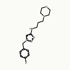 Fc1ccc(Cn2cc(NCCCN3CCOCC3)nn2)cc1